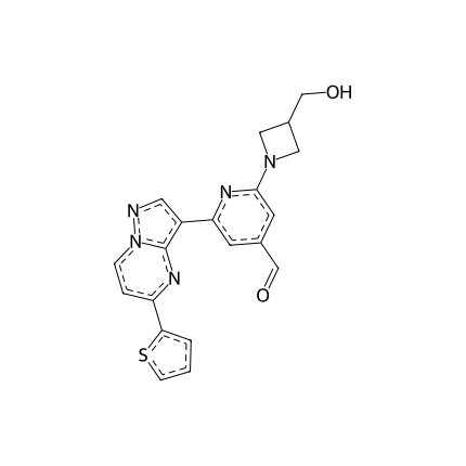 O=Cc1cc(-c2cnn3ccc(-c4cccs4)nc23)nc(N2CC(CO)C2)c1